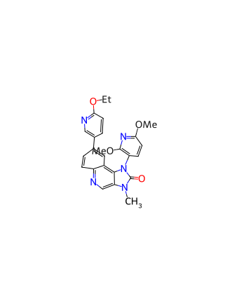 CCOc1ccc(-c2ccc3ncc4c(c3c2)n(-c2ccc(OC)nc2OC)c(=O)n4C)cn1